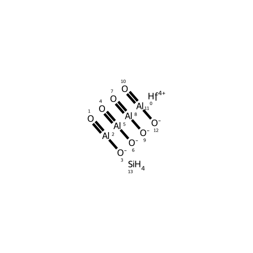 [Hf+4].[O]=[Al][O-].[O]=[Al][O-].[O]=[Al][O-].[O]=[Al][O-].[SiH4]